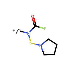 CN(SN1CCCC1)C(=O)F